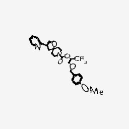 COc1ccc(COCC(OC(=O)N2CCC3(CC2)CC(c2ccccn2)CO3)C(F)(F)F)cc1